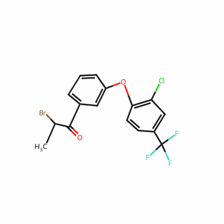 CC(Br)C(=O)c1cccc(Oc2ccc(C(F)(F)F)cc2Cl)c1